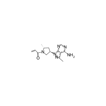 C=CC(=O)N1C[C@H](n2nc(C)c3c(N)ncnc32)C[C@H]1C